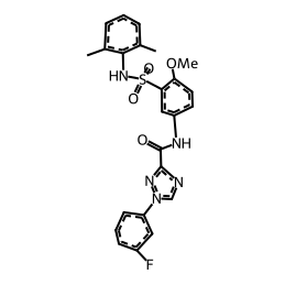 COc1ccc(NC(=O)c2ncn(-c3cccc(F)c3)n2)cc1S(=O)(=O)Nc1c(C)cccc1C